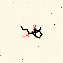 CCCC(O)C1C(=O)C2(C)CCC1C2(C)C